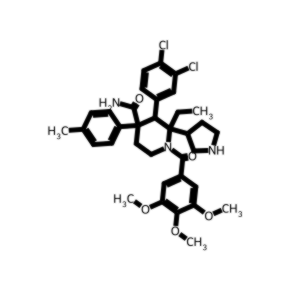 CCC1(C2CCNC2)C(c2ccc(Cl)c(Cl)c2)C(C(N)=O)(c2ccc(C)cc2)CCN1C(=O)c1cc(OC)c(OC)c(OC)c1